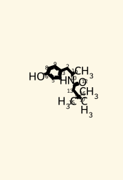 CC(Cc1ccc(O)cc1)NC(=O)CC(C)(C)C